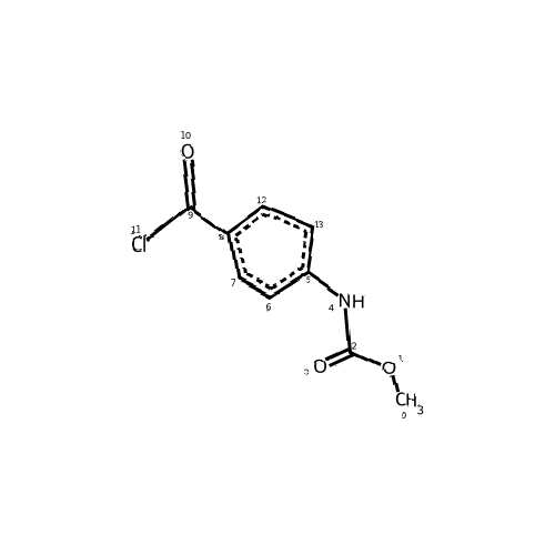 COC(=O)Nc1ccc(C(=O)Cl)cc1